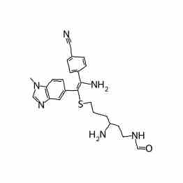 Cn1cnc2cc(/C(SCCCC(N)CCNC=O)=C(/N)c3ccc(C#N)cc3)ccc21